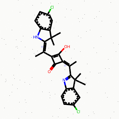 C/C(C1=Nc2ccc(Cl)cc2C1(C)C)=C1/C(=O)C(C(/C)=C2/Nc3ccc(Cl)cc3C2(C)C)=C1O